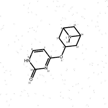 CN1C2CC(Oc3cc[nH]c(=O)n3)CC1C2